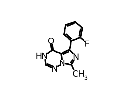 Cc1nc(-c2ccccc2F)c2c(=O)[nH]cnn12